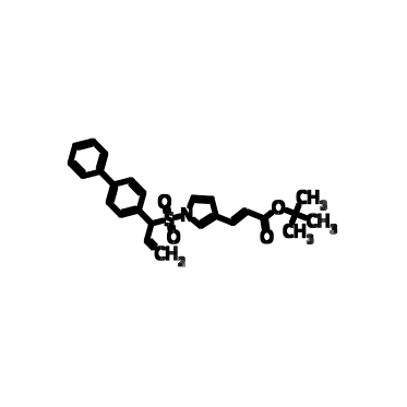 C=CC(c1ccc(-c2ccccc2)cc1)S(=O)(=O)n1ccc(/C=C/C(=O)OC(C)(C)C)c1